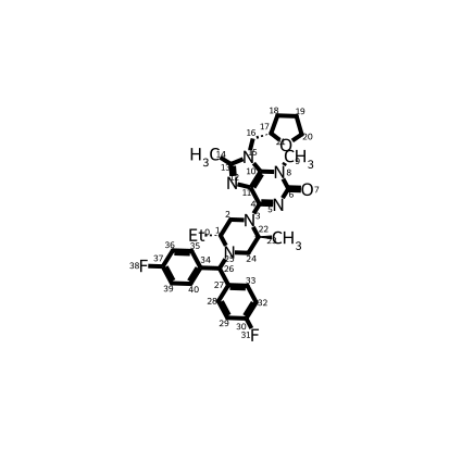 CC[C@@H]1CN(c2nc(=O)n(C)c3c2nc(C)n3C[C@@H]2CCCO2)[C@@H](C)CN1C(c1ccc(F)cc1)c1ccc(F)cc1